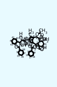 CC(=O)O[C@H]1C(=O)[C@@]2(C)[C@H]([C@H](OC(=O)c3ccccc3)[C@]3(O)C[C@H](OC(=O)[C@H](O)C(NC(=O)c4ccccc4)c4ccccc4)C(C)=C1C3(C)C)[C@]1(C)CO[C@@H]1C[C@@H]2O